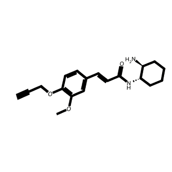 C#CCOc1ccc(/C=C/C(=O)N[C@H]2CCCC[C@@H]2N)cc1OC